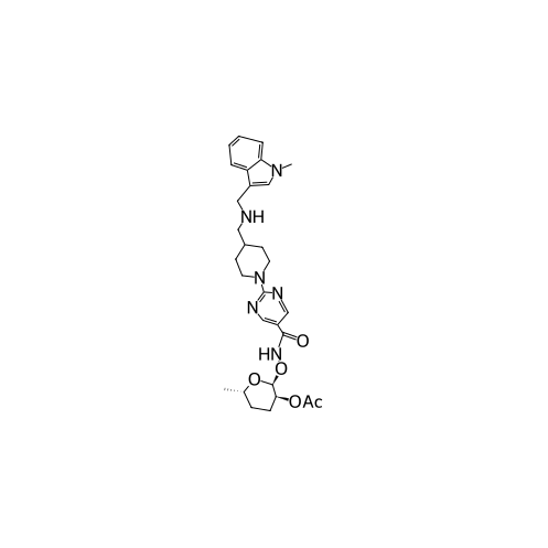 CC(=O)O[C@H]1CC[C@H](C)O[C@H]1ONC(=O)c1cnc(N2CCC(CNCc3cn(C)c4ccccc34)CC2)nc1